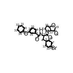 O=C(NC(Cc1ccc(Br)cc1)C(=O)N1CCC2OCC(=O)C21)c1cccc(Oc2ccccc2)c1